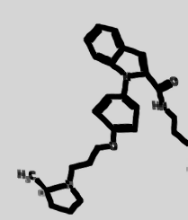 CCCCNC(=O)c1cc2ccccc2n1-c1ccc(OCCCN2CCC[C@H]2C)cc1